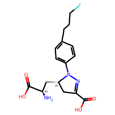 N[C@H](C[C@H]1CC(C(=O)O)=NN1c1ccc(CCCF)cc1)C(=O)O